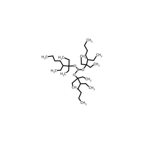 CCCCC(CC)C(CC)(CC)OB(OC(CC)(CC)C(CC)CCCC)OC(CC)(CC)C(CC)CCCC